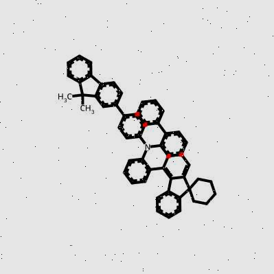 CC1(C)c2ccccc2-c2ccc(-c3ccc(N(c4ccccc4C4=C5C(=CCC4)C4(CCCCC4)c4ccccc45)c4ccccc4-c4ccccc4)cc3)cc21